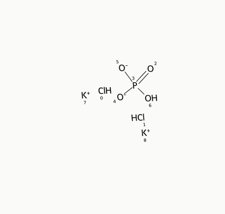 Cl.Cl.O=P([O-])([O-])O.[K+].[K+]